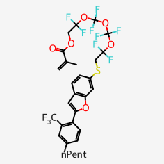 C=C(C)C(=O)OCC(F)(F)OC(F)(F)OC(F)(F)OC(F)(F)CSc1ccc2cc(-c3ccc(CCCCC)cc3C(F)(F)F)oc2c1